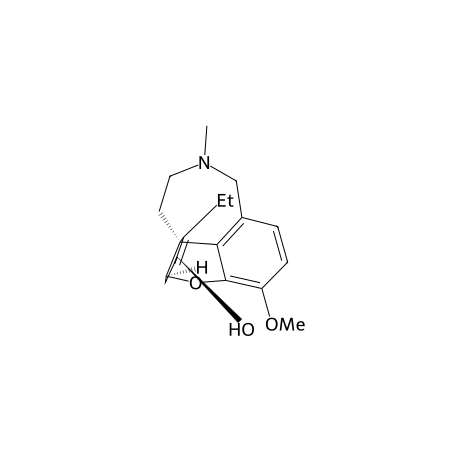 CCC1=C[C@H](O)C[C@@H]2Oc3c(OC)ccc4c3[C@]12CCN(C)C4